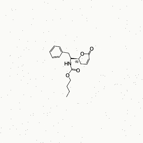 CCCCOC(=O)NC(Cc1ccccc1)[C@@H]1CC=CC(=O)O1